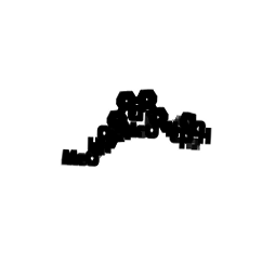 COc1nc(-c2cccc(-c3cccc(-c4ccn5c(=O)c(CNC[C@H](C)OC)cnc5c4)c3Cl)c2Cl)ccc1CN(C[C@@H]1CCC(=O)N1)C(=O)O